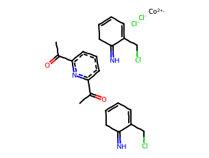 CC(=O)c1cccc(C(C)=O)n1.N=C1CC=CC=C1CCl.N=C1CC=CC=C1CCl.[Cl-].[Cl-].[Co+2]